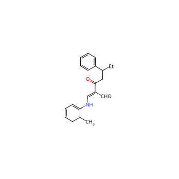 CCC(CC(=O)/C(C=O)=C/NC1=CC=CCC1C)c1ccccc1